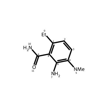 CCc1ccc(NC)c(N)c1C(N)=O